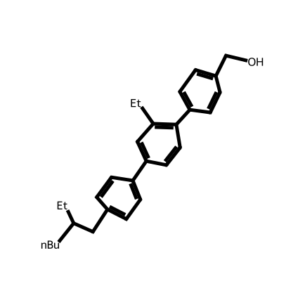 CCCCC(CC)Cc1ccc(-c2ccc(-c3ccc(CO)cc3)c(CC)c2)cc1